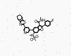 CNC(=O)c1c(-c2ccc(F)cc2)oc2cc(N(C)S(C)(=O)=O)c(-c3cncc(-c4nc5c(s4)C4CCC5C4)c3)cc12